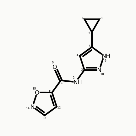 O=C(Nc1cc(C2CC2)[nH]n1)c1ccno1